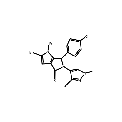 Cc1nn(C)cc1N1C(=O)c2cc(Br)n(C(C)C)c2C1c1ccc(Cl)cc1